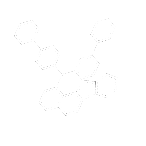 c1ccc(-c2ccc(N(c3cccc(-c4ccccc4)c3)c3cccc4ccc5c6ccccc6sc5c34)cc2)cc1